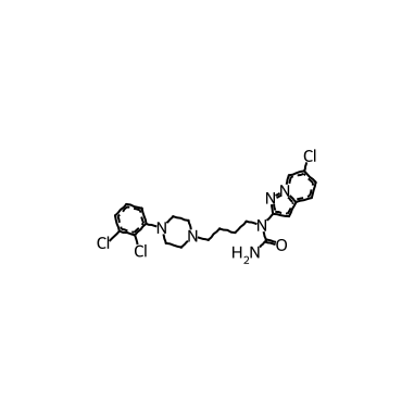 NC(=O)N(CCCCN1CCN(c2cccc(Cl)c2Cl)CC1)c1cc2ccc(Cl)cn2n1